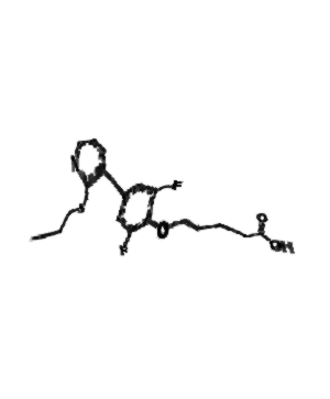 CCCSc1ncccc1-c1cc(F)c(OCCCCC(=O)O)c(F)c1